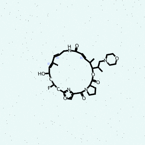 CC1=C\C(O)CC(F)Cc2nc(co2)C(=O)N2CCCC2C(=O)OC(C(C)CN2CCOCC2)C(C)/C=C/C(=O)NC\C=C\1